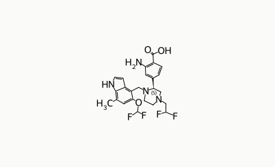 Cc1cc(OC(F)F)c(CN2CCN(CC(F)F)C[C@@H]2c2ccc(C(=O)O)c(N)c2)c2cc[nH]c12